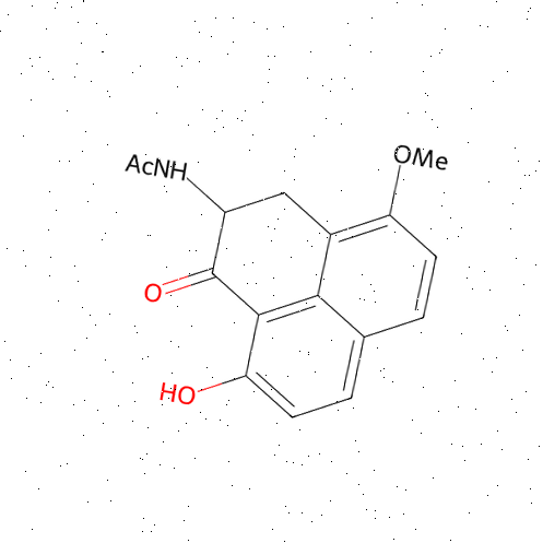 COc1ccc2ccc(O)c3c2c1CC(NC(C)=O)C3=O